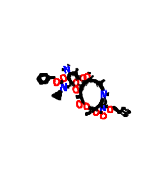 CC[C@H]1OC(=O)C(C)C(=O)[C@H](C)[C@@H](O[C@@H]2O[C@H](CN(C(=O)OCc3ccccc3)C3CC3)CC(N(C)C)[C@H]2C)[C@](C)(OC)C[C@@H](C)CN(C)[C@H](C)[C@H]2N(COCC[Si](C)(C)C)C(=O)O[C@]12C